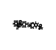 CC(C)C(=O)c1ccc2c(c1)CCN(CCC1CCC(NC(=O)c3ccccc3N(C)C)CC1)CC2